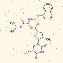 Cc1cn(C2OC(COP(NC(C)C(=O)OC(C)C)Oc3cccc4ccccc34)C[C@@H]2C)c(=O)[nH]c1=O